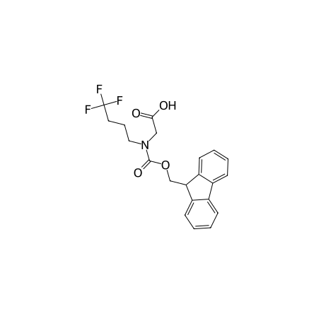 O=C(O)CN(CCCC(F)(F)F)C(=O)OCC1c2ccccc2-c2ccccc21